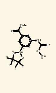 COC(=O)c1cc(NC(=O)OC(C)(C)C)cc(B2OC(C)(C)C(C)(C)O2)c1